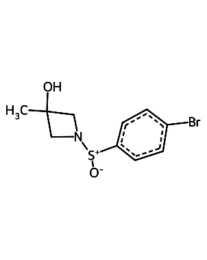 CC1(O)CN([S+]([O-])c2ccc(Br)cc2)C1